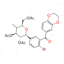 CC(=O)OC[C@H]1O[C@@H](c2ccc(Br)c(C(=O)c3ccc4c(c3)OCCO4)c2)[C@H](OC(C)=O)[C@@H](OC(C)=O)C1C